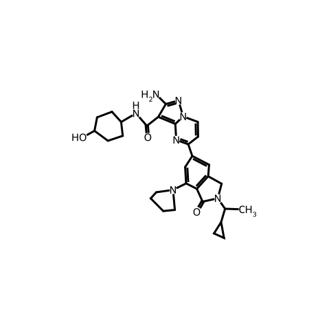 CC(C1CC1)N1Cc2cc(-c3ccn4nc(N)c(C(=O)NC5CCC(O)CC5)c4n3)cc(N3CCCC3)c2C1=O